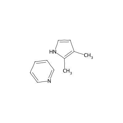 Cc1cc[nH]c1C.c1ccncc1